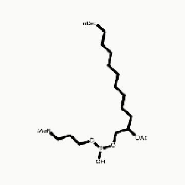 CCCCCCCCCCCCCCCCCCCC(COP(O)OCCCNC)OC(C)=O